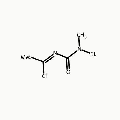 CCN(C)C(=O)N=C(Cl)SC